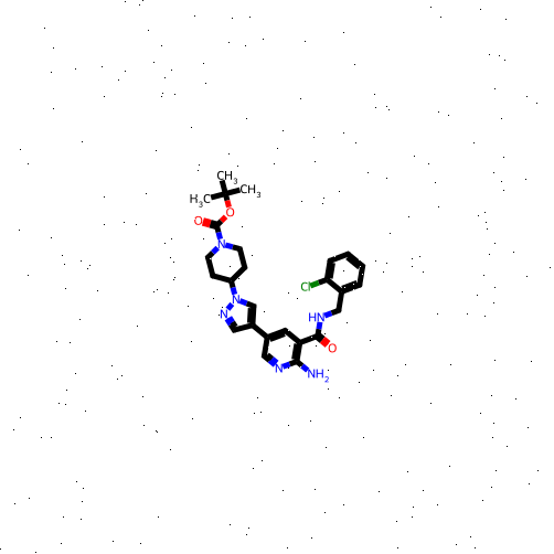 CC(C)(C)OC(=O)N1CCC(n2cc(-c3cnc(N)c(C(=O)NCc4ccccc4Cl)c3)cn2)CC1